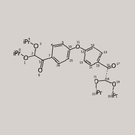 CC(C)OC(OC(C)C)C(=O)c1ccc(Oc2ccc(C(=O)C(OC(C)C)OC(C)C)cc2)cc1